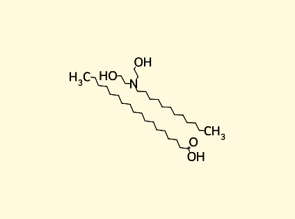 CCCCCCCCCCCCCCCCCC(=O)O.CCCCCCCCCCCCN(CCO)CCO